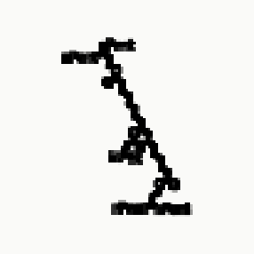 CCCCCC(CCCCC)CCOC(=O)CCCCCCCC(CCCCCCCC(=O)OCCC(CCCCC)CCCCC)OC(=O)CN(CC)CC